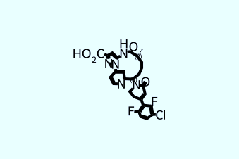 C[C@@H]1CCC[C@H](N2CCC(c3c(F)ccc(Cl)c3F)=CC2=O)c2cc(ccn2)-n2nc(C(=O)O)cc2NC1=O